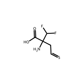 NC(CC=S)(C(=O)O)C(F)F